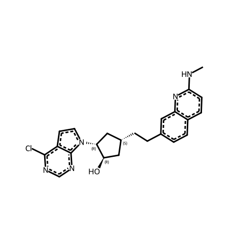 CNc1ccc2ccc(CC[C@@H]3C[C@@H](O)[C@H](n4ccc5c(Cl)ncnc54)C3)cc2n1